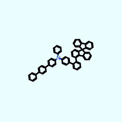 c1ccc(-c2ccc(-c3ccc(N(c4ccccc4)c4ccc(-c5ccccc5-c5cccc6c5-c5ccccc5C65c6ccccc6-c6ccccc65)cc4)cc3)cc2)cc1